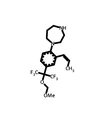 C/C=C\c1cc(C(OCOC)(C(F)(F)F)C(F)(F)F)ccc1N1CCCNCC1